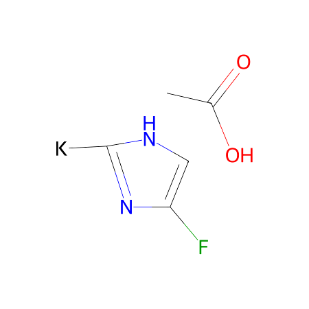 CC(=O)O.Fc1c[nH][c]([K])n1